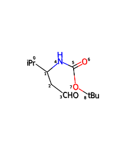 CC(C)C(CC=O)NC(=O)OC(C)(C)C